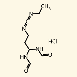 CCN=C=NCCC(NC=O)NC=O.Cl